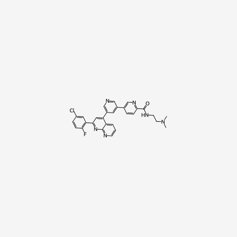 CN(C)CCNC(=O)c1ccc(-c2cncc(-c3cc(-c4cc(Cl)ccc4F)nc4ncccc34)c2)cn1